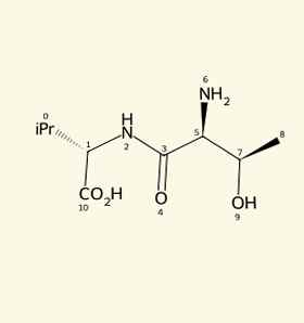 CC(C)[C@H](NC(=O)[C@@H](N)[C@@H](C)O)C(=O)O